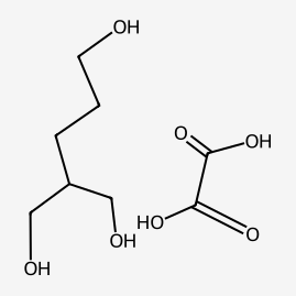 O=C(O)C(=O)O.OCCCC(CO)CO